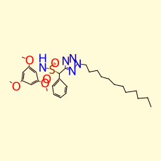 CCCCCCCCCCCCn1nnc(C(c2ccccc2)S(=O)(=O)Nc2c(OC)cc(OC)cc2OC)n1